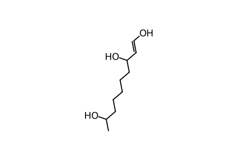 CC(O)CCCCCC(O)C=CO